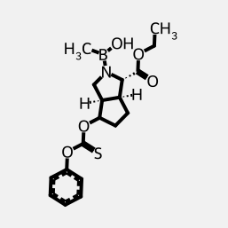 CCOC(=O)[C@@H]1[C@H]2CCC(OC(=S)Oc3ccccc3)[C@H]2CN1B(C)O